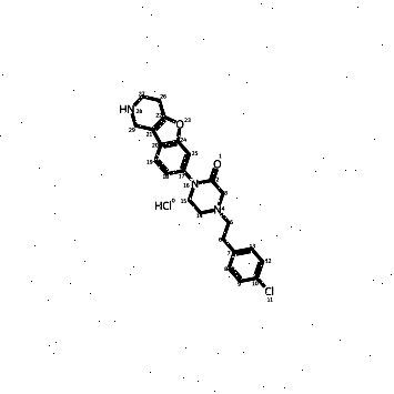 Cl.O=C1CN(CCc2ccc(Cl)cc2)CCN1c1ccc2c3c(oc2c1)CCNC3